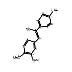 COc1ccc(/C=C(\C#N)c2ccc(OC(C)=O)cc2)cc1OC